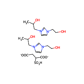 CC(O)C[n+]1ccn(CCO)c1.CC(O)C[n+]1ccn(CCO)c1.O=C([O-])CC(C(=O)[O-])S(=O)(=O)O